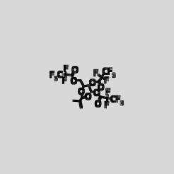 C=C(C)C(=O)OC(COC(=O)C(F)(F)C(F)(F)F)C(COC(=O)C(F)(F)C(F)(F)F)OC(=O)C(F)(F)C(F)(F)F